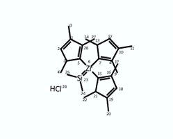 CC1=CC(C)[C]([Zr]([C]2=C(C)C(C)=CC2C)([C]2=C(C)C=C(C)C2C)=[Si](C)C)=C1C.Cl